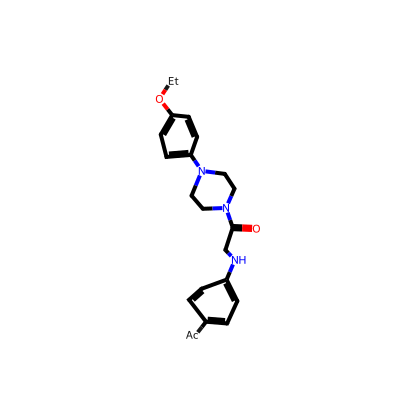 CCOc1ccc(N2CCN(C(=O)CNc3ccc(C(C)=O)cc3)CC2)cc1